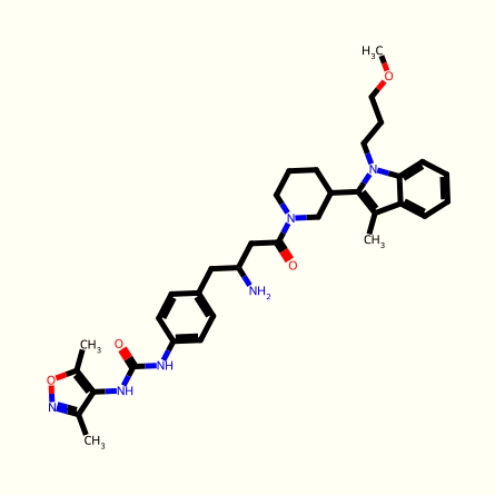 COCCCn1c(C2CCCN(C(=O)CC(N)Cc3ccc(NC(=O)Nc4c(C)noc4C)cc3)C2)c(C)c2ccccc21